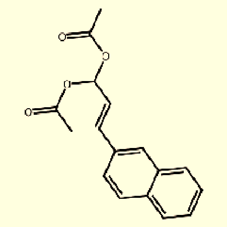 CC(=O)OC(C=Cc1ccc2ccccc2c1)OC(C)=O